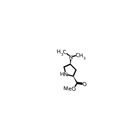 COC(=O)[C@@H]1C[C@H](N(C)C)CN1